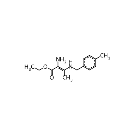 CCOC(=O)/C(N)=C(\C)NCc1ccc(C)cc1